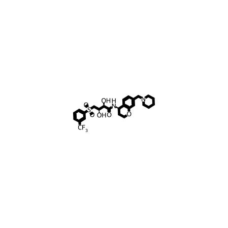 O=C(N[C@@H]1CCOc2cc(CN3CCCCC3)ccc21)[C@H](O)[C@H](O)CS(=O)(=O)c1cccc(C(F)(F)F)c1